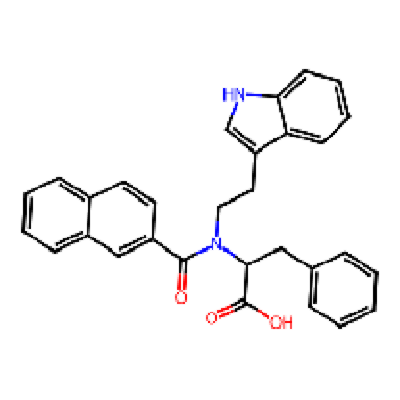 O=C(O)C(Cc1ccccc1)N(CCc1c[nH]c2ccccc12)C(=O)c1ccc2ccccc2c1